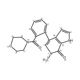 Cn1cc(-c2ccccc2C(=O)N2CCOCC2)c2cc[nH]c2c1=O